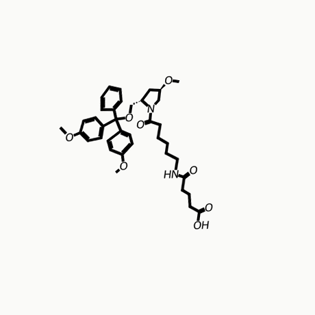 COc1ccc(C(OC[C@@H]2C[C@@H](OC)CN2C(=O)CCCCCNC(=O)CCCC(=O)O)(c2ccccc2)c2ccc(OC)cc2)cc1